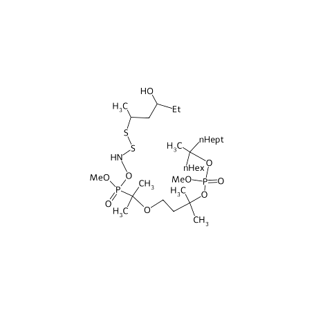 CCCCCCCC(C)(CCCCCC)OP(=O)(OC)OC(C)(C)CCOC(C)(C)P(=O)(OC)ONSSC(C)CC(O)CC